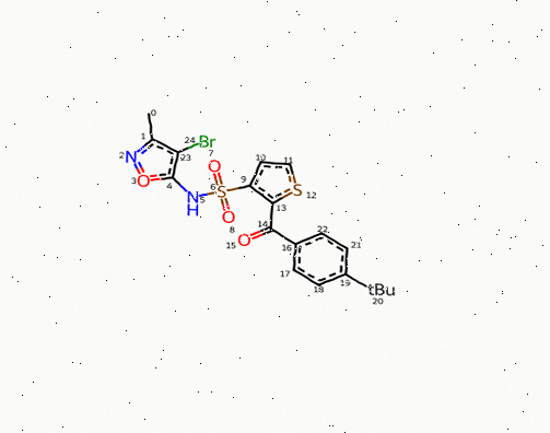 Cc1noc(NS(=O)(=O)c2ccsc2C(=O)c2ccc(C(C)(C)C)cc2)c1Br